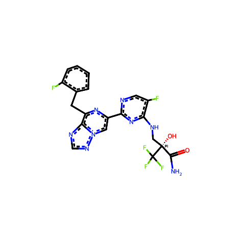 NC(=O)[C@](O)(CNc1nc(-c2cn3ncnc3c(Cc3ccccc3F)n2)ncc1F)C(F)(F)F